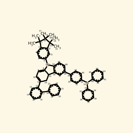 CC1(C)c2ccc(N3C4=CC=C(c5ccccc5-c5ccccc5)CC4c4cc(-c5ccc(N(c6ccccc6)c6ccccc6)cc5)ccc43)cc2C(C)(C)C1(C)C